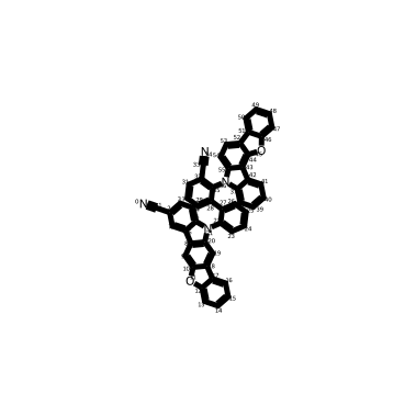 N#Cc1ccc2c(c1)c1cc3oc4ccccc4c3cc1n2-c1ccccc1-c1cccc(C#N)c1-n1c2ccccc2c2c3oc4ccccc4c3ccc21